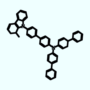 CC1CC=Cc2c1n(-c1ccc(-c3ccc(N(C4=CCC(c5ccccc5)C=C4)c4ccc(-c5ccccc5)cc4)cc3)cc1)c1ccccc21